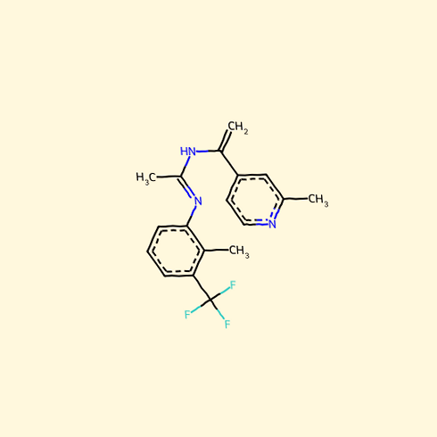 C=C(N/C(C)=N/c1cccc(C(F)(F)F)c1C)c1ccnc(C)c1